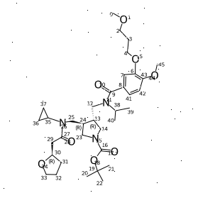 COCCCOc1cc(C(=O)N(C[C@@H]2CN(C(=O)OC(C)(C)C)C[C@H]2CN(C(=O)C[C@H]2CCCO2)C2CC2)C(C)C)ccc1OC